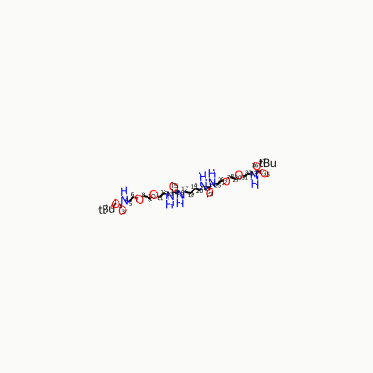 CC(C)(C)OC(=O)NCCOCCOCCNC(=O)NCCCCNC(=O)NCCOCCOCCNC(=O)OC(C)(C)C